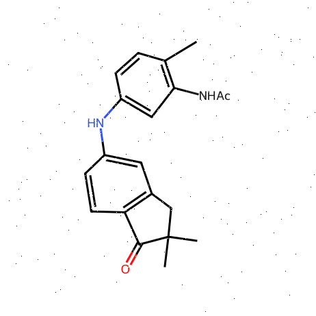 CC(=O)Nc1cc(Nc2ccc3c(c2)CC(C)(C)C3=O)ccc1C